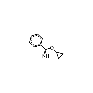 N=C(OC1CC1)c1ccccc1